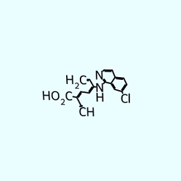 C#C/C(=C\C=C(/C=C)Nc1nccc2ccc(Cl)cc12)C(=O)O